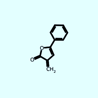 C=C1C=C(c2ccccc2)OC1=O